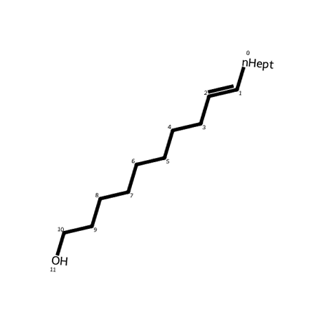 CCCCCCCC=CCCCCCCCCO